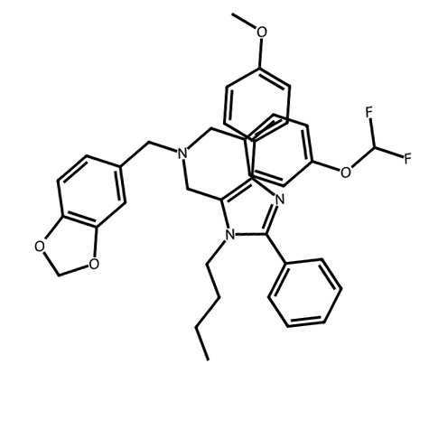 CCCCn1c(-c2ccccc2)nc(-c2ccc(OC)cc2)c1CN(Cc1ccc(OC(F)F)cc1)Cc1ccc2c(c1)OCO2